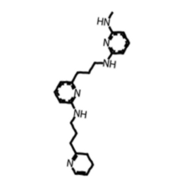 CNc1cccc(NCCCc2cccc(NCCCC3=NC=CCC3)n2)n1